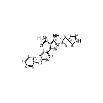 NC(=O)c1c(-c2ccc(Oc3ccccc3)nc2)nn([C@H]2C[C@@]3(CCNC3)C2)c1N